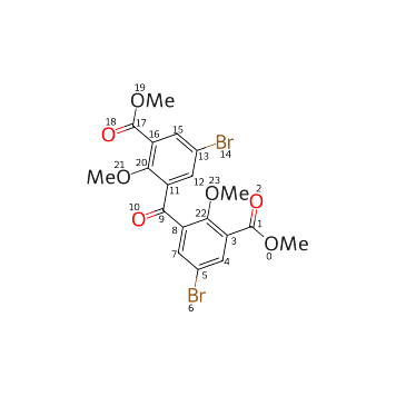 COC(=O)c1cc(Br)cc(C(=O)c2cc(Br)cc(C(=O)OC)c2OC)c1OC